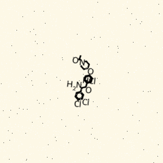 CC(=O)N1CCC(Oc2ccc(C(=O)C(N)c3ccc(Cl)c(Cl)c3)cc2)CC1.Cl